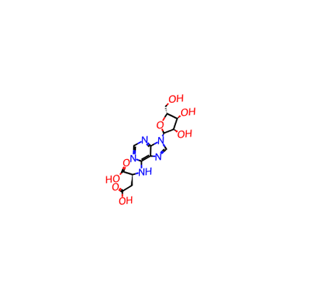 O=C(O)C[C@H](Nc1ncnc2c1ncn2[C@H]1O[C@H](CO)[C@@H](O)[C@H]1O)C(=O)O